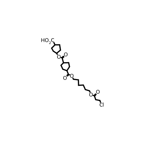 O=C(CCCl)OCCCCCCOC(=O)C1CCC(C(=O)OC2CCC(C(=O)O)CC2)CC1